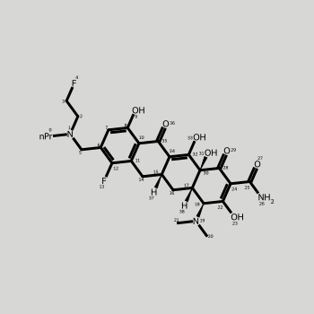 CCCN(CCF)Cc1cc(O)c2c(c1F)C[C@H]1C[C@H]3[C@H](N(C)C)C(O)=C(C(N)=O)C(=O)[C@@]3(O)C(O)=C1C2=O